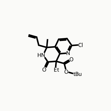 C=CCC1(C)NC(=O)C(CC)(C(=O)OC(C)(C)C)c2nc(Cl)ccc21